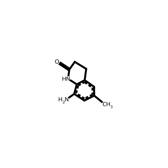 Cc1cc(N)c2c(c1)CCC(=O)N2